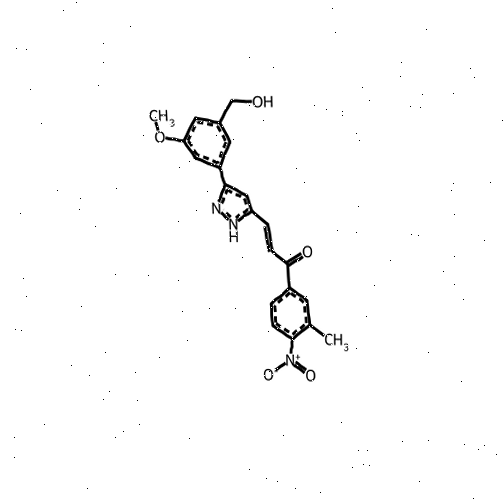 COc1cc(CO)cc(-c2cc(/C=C/C(=O)c3ccc([N+](=O)[O-])c(C)c3)[nH]n2)c1